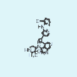 CC1(C)CNCC[C@@H]1Nc1ncnc2cncc(C3CCC3c3ccnc(Nc4ncccc4Cl)c3)c12